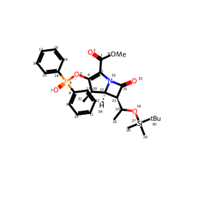 COC(=O)C1=C(OP(=O)(c2ccccc2)c2ccccc2)[C@H](C)[C@@H]2[C@H](C(C)O[Si](C)(C)C(C)(C)C)C(=O)N12